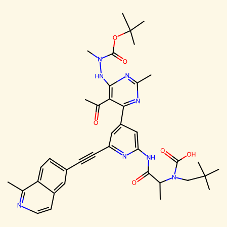 CC(=O)c1c(NN(C)C(=O)OC(C)(C)C)nc(C)nc1-c1cc(C#Cc2ccc3c(C)nccc3c2)nc(NC(=O)C(C)N(CC(C)(C)C)C(=O)O)c1